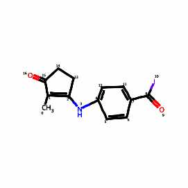 CC1=C(Nc2ccc(C(=O)I)cc2)CCC1=O